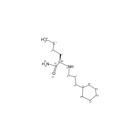 CSCC[C@@H](NCCCC1CCCCC1)C(N)=O